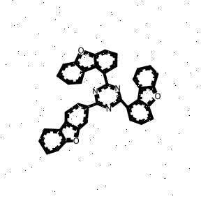 c1ccc2c(c1)oc1cc(-c3nc(-c4cccc5oc6ccccc6c45)nc(-c4cccc5oc6ccccc6c45)n3)ccc12